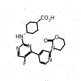 O=C1OCCCN1c1cc(-c2nc(N[C@H]3CC[C@H](C(=O)O)CC3)ncc2F)ccn1